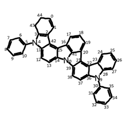 C1=Cc2c(n(-c3ccccc3)c3ccc4c(c5cccc6c7c8c9ccccc9n(-c9ccccc9)c8ccc7n4c56)c23)CC1